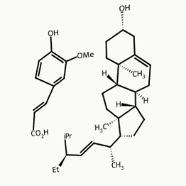 CC[C@H](/C=C/[C@@H](C)[C@H]1CC[C@H]2[C@@H]3CC=C4C[C@@H](O)CC[C@]4(C)[C@H]3CC[C@]12C)C(C)C.COc1cc(/C=C/C(=O)O)ccc1O